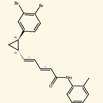 Cc1ccccc1NC(=O)/C=C/C=C/[C@@H]1C[C@H]1c1ccc(Br)c(Br)c1